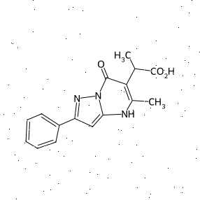 Cc1[nH]c2cc(-c3ccccc3)nn2c(=O)c1C(C)C(=O)O